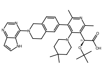 Cc1nc(C)c([C@H](OC(C)(C)C)C(=O)O)c(N2CCC(C)(C)CC2)c1-c1ccc2c(c1)CCN(c1ncnc3cc[nH]c13)C2